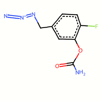 [N-]=[N+]=NCc1ccc(F)c(OC(N)=O)c1